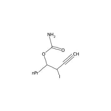 C#CC(I)C(CCC)OC(N)=O